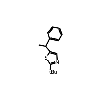 CC(c1ccccc1)c1cnc(C(C)(C)C)s1